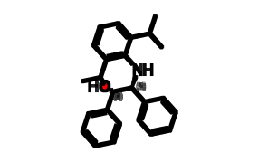 CC(C)c1cccc(C(C)C)c1N[C@@H](c1ccccc1)[C@H](O)c1ccccc1